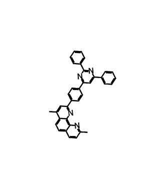 Cc1ccc2ccc3c(C)cc(-c4ccc(-c5cc(-c6ccccc6)nc(-c6ccccc6)n5)cc4)nc3c2n1